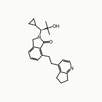 CC(C)(O)[C@H](C1CC1)N1Cc2cccc(CCc3ccnc4c3CCC4)c2C1=O